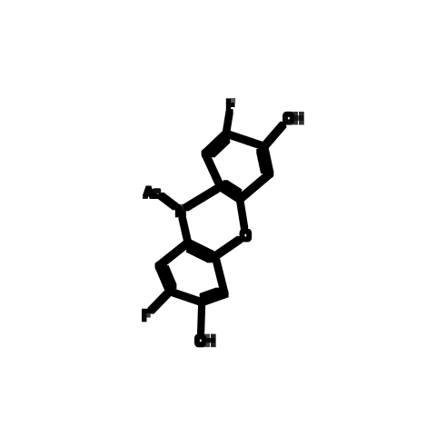 CC(=O)N1c2cc(F)c(O)cc2Oc2cc(O)c(F)cc21